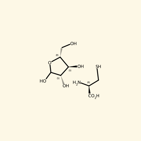 N[C@@H](CS)C(=O)O.OC[C@H]1OC(O)[C@@H](O)[C@@H]1O